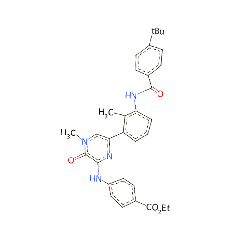 CCOC(=O)c1ccc(Nc2nc(-c3cccc(NC(=O)c4ccc(C(C)(C)C)cc4)c3C)cn(C)c2=O)cc1